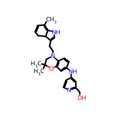 CC1=C2NC=C(CCN3CC(C)(C)Oc4cc(Nc5ccnc(CO)c5)ccc43)C2CC=C1